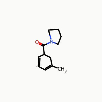 CC1=C[C]=CC(C(=O)N2CCCC2)C1